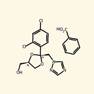 O=C(O)c1ccccc1.OC[C@@H]1CO[C@@](Cn2cncn2)(c2ccc(Cl)cc2Cl)O1